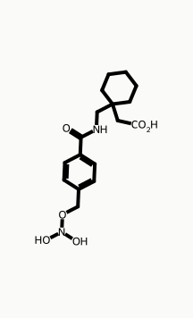 O=C(O)CC1(CNC(=O)c2ccc(CON(O)O)cc2)CCCCC1